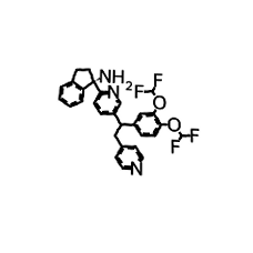 N[C@@]1(c2ccc(C(Cc3ccncc3)c3ccc(OC(F)F)c(OC(F)F)c3)cn2)CCc2ccccc21